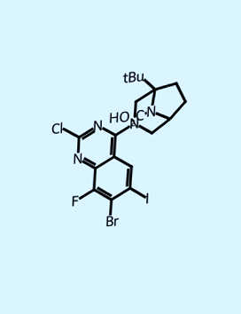 CC(C)(C)C12CCC(CN(c3nc(Cl)nc4c(F)c(Br)c(I)cc34)C1)N2C(=O)O